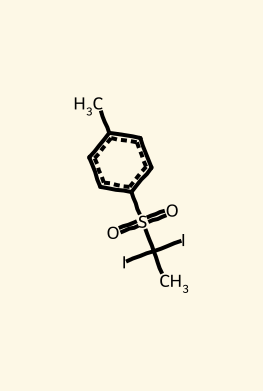 Cc1ccc(S(=O)(=O)C(C)(I)I)cc1